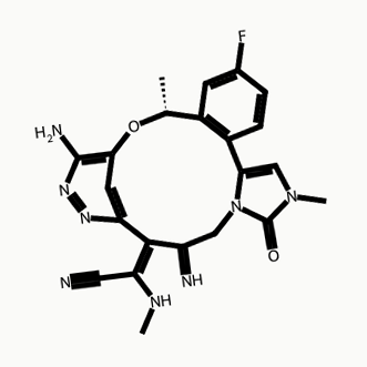 CN/C(C#N)=C1\C(=N)Cn2c(cn(C)c2=O)-c2ccc(F)cc2[C@@H](C)Oc2cc1nnc2N